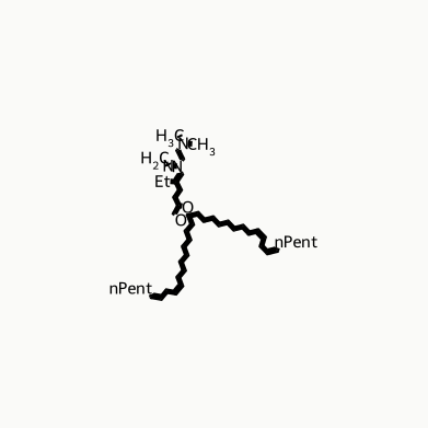 C=NN(/C=C(\CC)CCC1COC(CCCCCCCC/C=C\C/C=C\CCCCC)(CCCCCCCC/C=C\C/C=C\CCCCC)O1)CCN(C)C